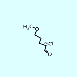 COCCC[C@H](Cl)C=O